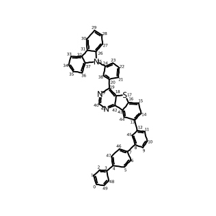 c1ccc(-c2ccc(-c3cccc(-c4ccc5sc6c(-c7cccc(-n8c9ccccc9c9ccccc98)c7)ncnc6c5c4)c3)cc2)cc1